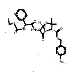 CC1(C)S[C@@H]2[C@H](NC(=O)C(NC(=O)OCI)c3ccccc3)C(=O)N2[C@H]1C(=O)OCc1ccc([N+](=O)[O-])cc1